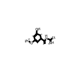 C=C(NC(=N)CC)C1C=C(OC(C)C)C=C(O)C1